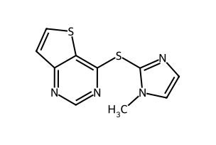 Cn1ccnc1Sc1ncnc2ccsc12